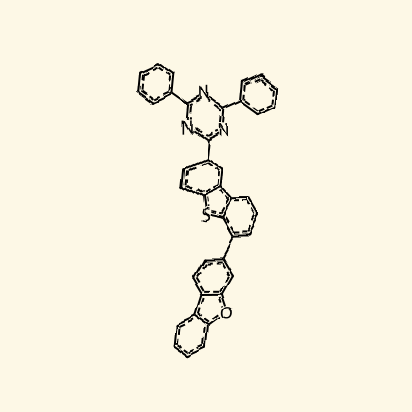 c1ccc(-c2nc(-c3ccccc3)nc(-c3ccc4sc5c(-c6ccc7c(c6)oc6ccccc67)cccc5c4c3)n2)cc1